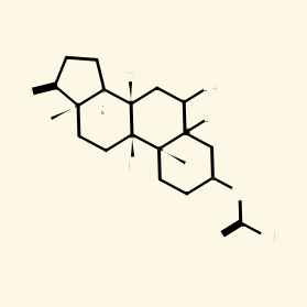 C[C@]12CCC(OC(=O)C(F)(F)F)CC1(Br)C(Br)C[C@@H]1[C@H]2CC[C@]2(C)C(=O)CC[C@@]12F